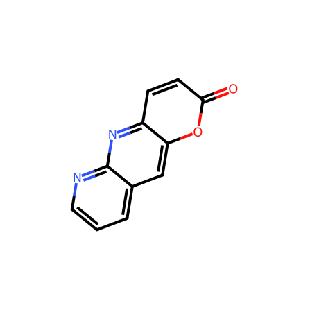 O=c1ccc2nc3ncccc3cc2o1